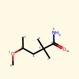 COC(C)CC(C)(C)C(N)=O